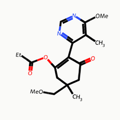 CCC(=O)OC1=C(c2ncnc(OC)c2C)C(=O)CC(C)(COC)C1